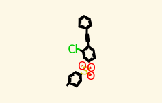 Cc1ccc(S(=O)(=O)Oc2ccc(C#Cc3ccccc3)c(Cl)c2)cc1